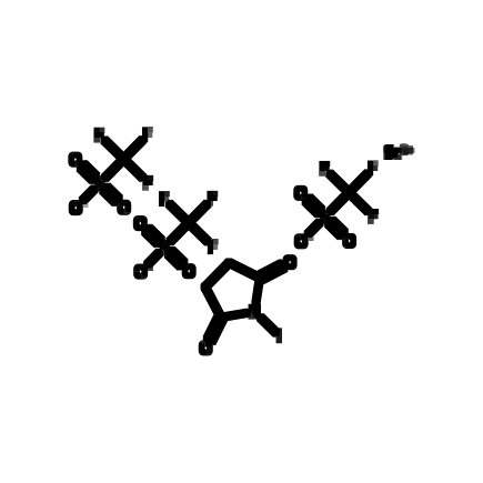 O=C1CCC(=O)N1I.O=S(=O)([O-])C(F)(F)F.O=S(=O)([O-])C(F)(F)F.O=S(=O)([O-])C(F)(F)F.[Sc+3]